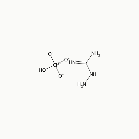 N=C(N)NN.[O-][Cl+3]([O-])([O-])O